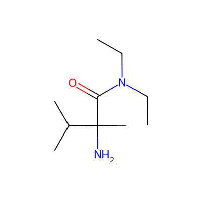 CCN(CC)C(=O)C(C)(N)C(C)C